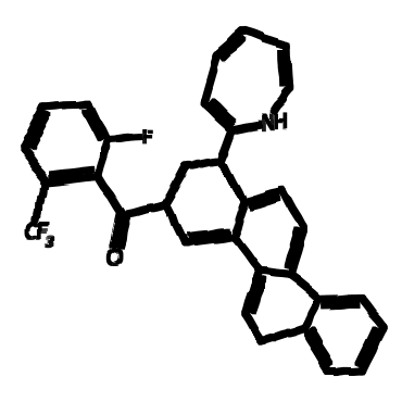 O=C(c1c(F)cccc1C(F)(F)F)C1C=c2c(ccc3c2=CCc2ccccc2-3)C(C2=CC=CC=CN2)C1